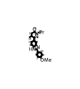 COc1ccc(-c2nc3cc(C4=NN(C(C)C)C(=O)CC4C)ccc3[nH]2)cc1